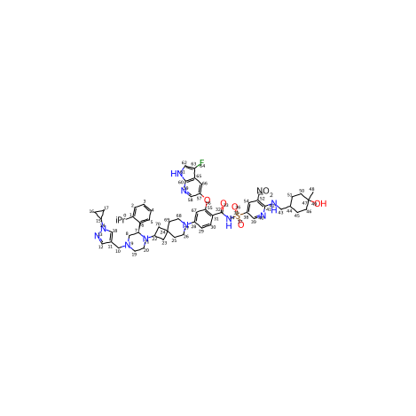 CC(C)c1ccccc1[C@@H]1CN(Cc2cnn(C3CC3)c2)CCN1C1CC2(CCN(c3ccc(C(=O)NS(=O)(=O)c4cnc(NCC5CCC(C)(O)CC5)c([N+](=O)[O-])c4)c(Oc4cnc5[nH]cc(F)c5c4)c3)CC2)C1